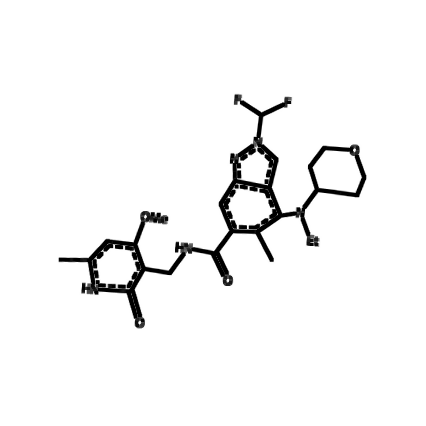 CCN(c1c(C)c(C(=O)NCc2c(OC)cc(C)[nH]c2=O)cc2nn(C(F)F)cc12)C1CCOCC1